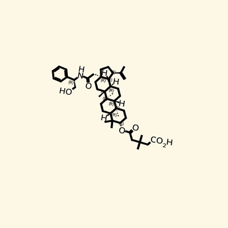 C=C(C)[C@@H]1CC[C@]2(CC(=O)N[C@@H](CO)c3ccccc3)CC[C@]3(C)[C@H](CC[C@@H]4[C@@]5(C)CC[C@H](OC(=O)CC(C)(C)CC(=O)O)C(C)(C)[C@@H]5CC[C@]43C)[C@@H]12